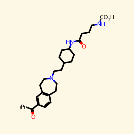 CC(C)C(=O)c1ccc2c(c1)CCN(CCC1CCC(NC(=O)CCCNC(=O)O)CC1)CC2